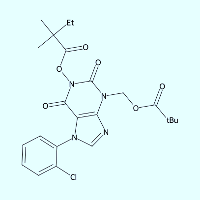 CCC(C)(C)C(=O)On1c(=O)c2c(ncn2-c2ccccc2Cl)n(COC(=O)C(C)(C)C)c1=O